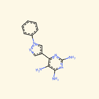 Nc1nc(N)c(N)c(-c2cnn(-c3ccccc3)c2)n1